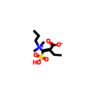 CCC[N+](C)(C)C(=C(CC)C(=O)[O-])S(=O)(=O)O